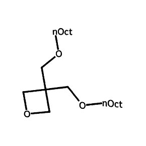 CCCCCCCCOCC1(COCCCCCCCC)COC1